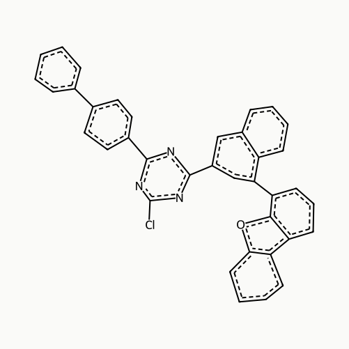 Clc1nc(-c2ccc(-c3ccccc3)cc2)nc(-c2cc(-c3cccc4c3oc3ccccc34)c3ccccc3c2)n1